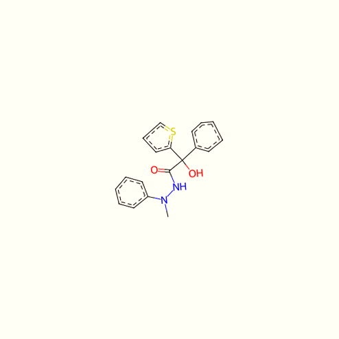 CN(NC(=O)C(O)(c1ccccc1)c1cccs1)c1ccccc1